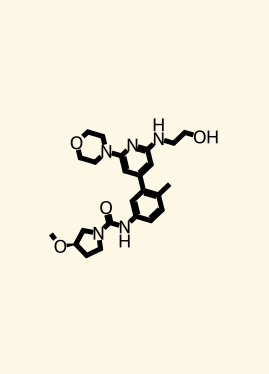 CO[C@@H]1CCN(C(=O)Nc2ccc(C)c(-c3cc(NCCO)nc(N4CCOCC4)c3)c2)C1